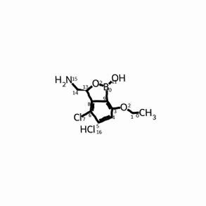 CCOc1ccc(Cl)c2c1B(O)O[C@@H]2CN.Cl